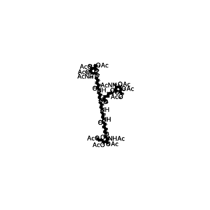 CC(=O)NC1C(OC(C)=O)[C@@H](OC(C)=O)C(COC(C)=O)O[C@H]1OCCCCC(=O)NCCCNCCCN(CCCNC(=O)CCCCO[C@@H]1OC(COC(C)=O)[C@H](OC(C)=O)C(OC(C)=O)C1NC(C)=O)C(=O)CCCCO[C@@H]1OC(COC(C)=O)[C@H](OC(C)=O)C(OC(C)=O)[C@@H]1NC(C)=O